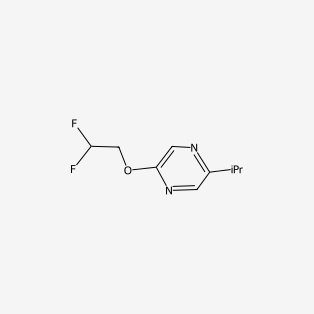 CC(C)c1cnc(OCC(F)F)cn1